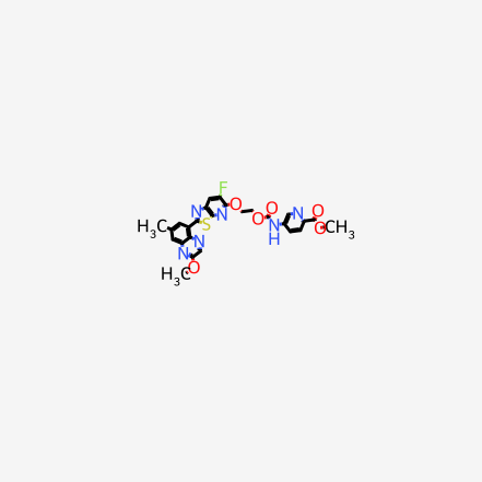 COC(=O)c1ccc(NC(=O)OCCOc2nc3sc(-c4cc(C)cc5nc(OC)cnc45)nc3cc2F)cn1